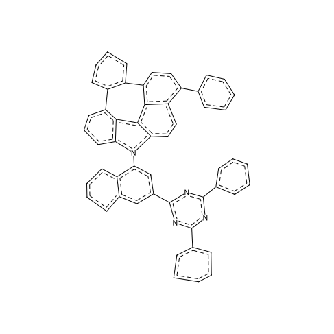 c1ccc(-c2nc(-c3ccccc3)nc(-c3cc(-n4c5cccc6c5c5c7c(ccc(-c8ccccc8)c7ccc54)-c4ccccc4-6)c4ccccc4c3)n2)cc1